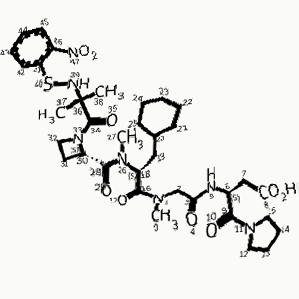 CN(CC(=O)N[C@@H](CC(=O)O)C(=O)N1CCCC1)C(=O)[C@H](CC1CCCCC1)N(C)C(=O)[C@@H]1CCN1C(=O)C(C)(C)NSc1ccccc1[N+](=O)[O-]